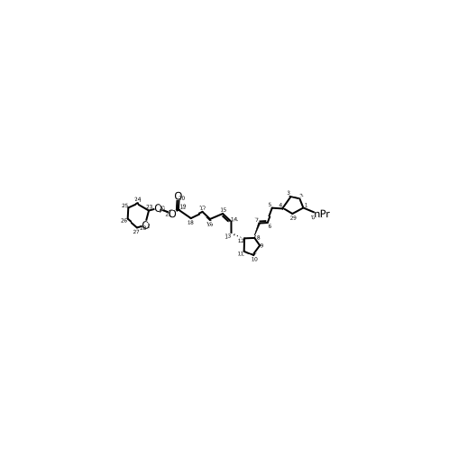 CCCC1CCC(C/C=C/[C@H]2CCC[C@@H]2C/C=C\CCCC(=O)OOC2CCCCO2)C1